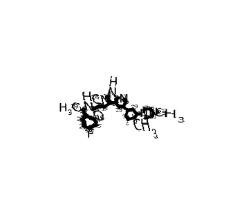 CC1C=CC(c2cnc3[nH]cc(/C=C(\C#N)C(=O)N[C@H](C)c4ccc(F)cc4)c3c2)=CC1N1CCN(C)CC1